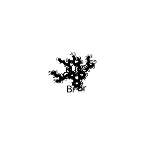 CCCCC(CC)COc1ccc(-c2cc(Br)c(Br)cc2-c2ccc(OCC(CC)CCCC)c(OCC(CC)CCCC)c2)cc1OCC(CC)CCCC